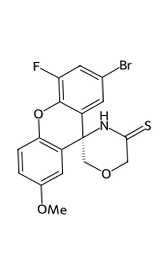 COc1ccc2c(c1)[C@@]1(COCC(=S)N1)c1cc(Br)cc(F)c1O2